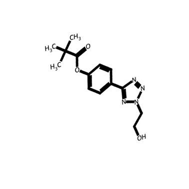 CC(C)(C)C(=O)Oc1ccc(-c2nnn(CCO)n2)cc1